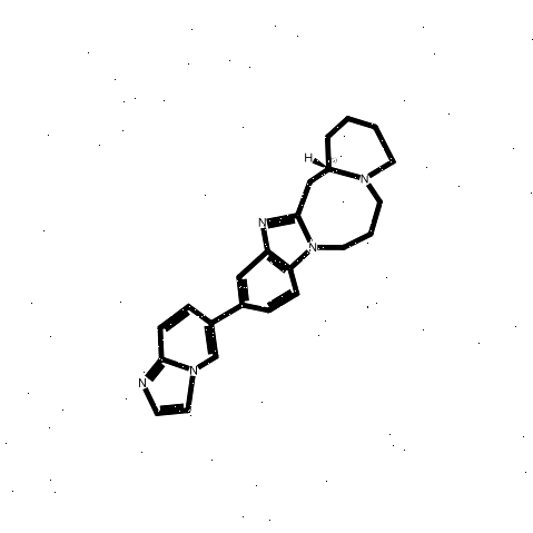 c1cn2cc(-c3ccc4c(c3)nc3n4CCCN4CCCC[C@H]4C3)ccc2n1